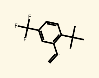 C=[C]c1cc(C(F)(F)F)ccc1C(C)(C)C